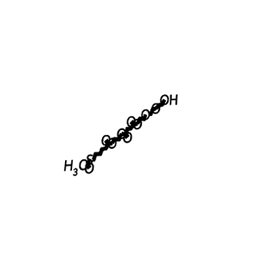 CC(=O)SCCCCCC(=O)OCCOC(=O)CCC(=O)OCCOCCOCCO